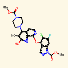 CC(C)(C)OC(=O)N1CCN(c2c(C#N)c(O)nc3c(Oc4c(Cl)c(F)cc5c4cnn5C(=O)OC(C)(C)C)nccc23)CC1